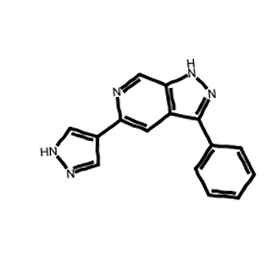 c1ccc(-c2n[nH]c3cnc(-c4cn[nH]c4)cc23)cc1